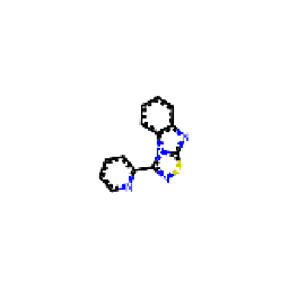 c1ccc(-c2nsc3nc4ccccc4n23)nc1